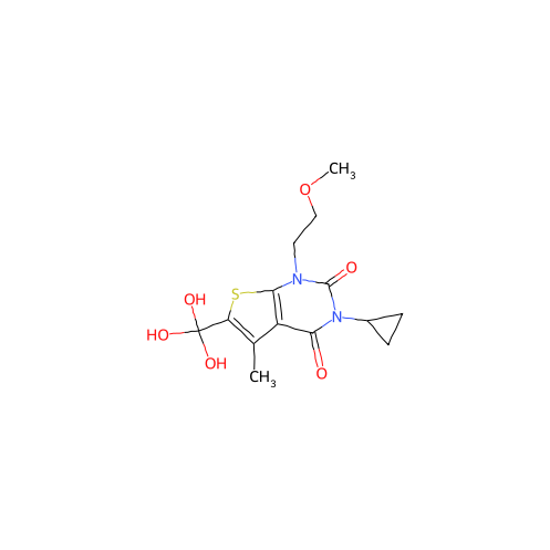 COCCn1c(=O)n(C2CC2)c(=O)c2c(C)c(C(O)(O)O)sc21